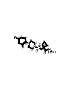 O=C(NO)C1(CS(=O)(=O)N2CCN(c3ccc(F)cc3F)CC2)CCC1